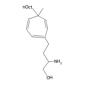 CCCCCCCCC1(C)C=CC=C(CCC(N)CO)C=C1